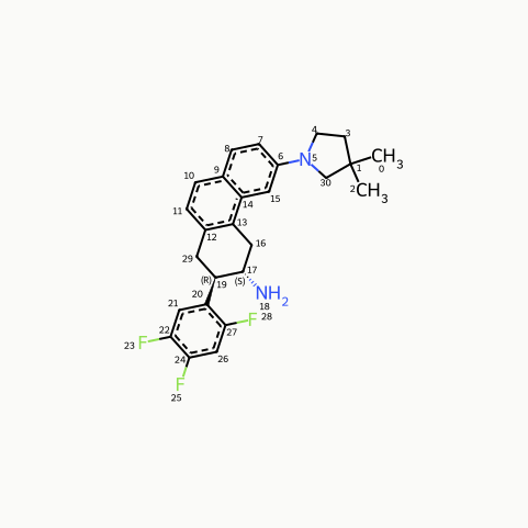 CC1(C)CCN(c2ccc3ccc4c(c3c2)C[C@H](N)[C@@H](c2cc(F)c(F)cc2F)C4)C1